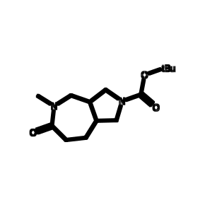 CN1CC2CN(C(=O)OC(C)(C)C)CC2CCC1=O